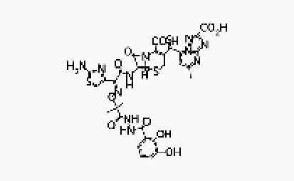 Cc1cc(C(=S)C2=C(C(=O)O)N3C(=O)C(NC(=O)C(=NOC(C)(C)C(=O)NNC(=O)c4cccc(O)c4O)c4csc(N)n4)[C@@H]3SC2)n2nc(C(=O)O)nc2n1